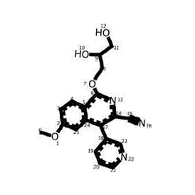 COc1ccc2c(OCC(O)CO)nc(C#N)c(-c3cccnc3)c2c1